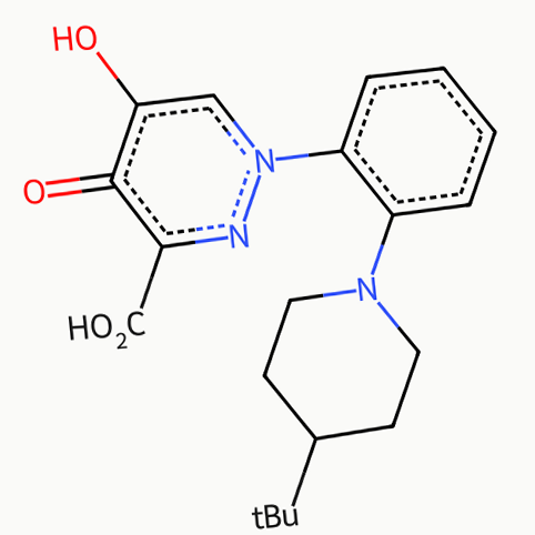 CC(C)(C)C1CCN(c2ccccc2-n2cc(O)c(=O)c(C(=O)O)n2)CC1